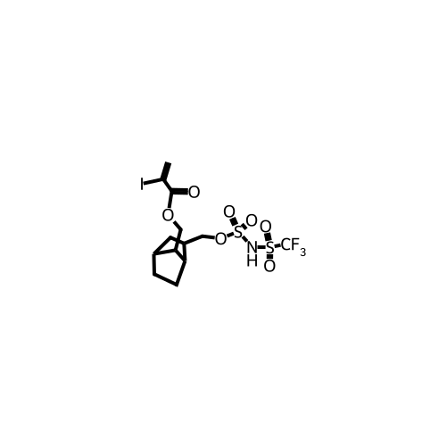 C=C(I)C(=O)OCC1C2CCC1C(COS(=O)(=O)NS(=O)(=O)C(F)(F)F)C2